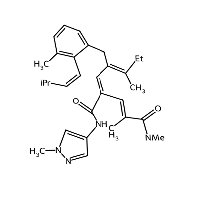 CC/C(C)=C(/C=C(\C=C(/C)C(=O)NC)C(=O)Nc1cnn(C)c1)Cc1cccc(C)c1/C=C\C(C)C